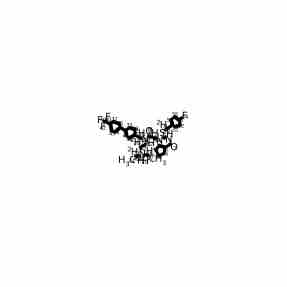 [2H]C([2H])(Sc1nc(=O)c2c(n1C([2H])([2H])C(=O)N(CCN(C([2H])([2H])C)C([2H])([2H])C)C([2H])([2H])c1ccc(-c3ccc(C(F)(F)F)cc3)cc1)CCC2)c1ccc(F)cc1